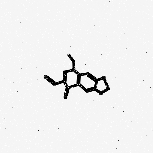 CCn1cc(C=O)c(=O)c2cc3c(cc21)OCO3